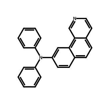 c1ccc(N(c2ccccc2)c2ccc3ccc4ccncc4c3c2)cc1